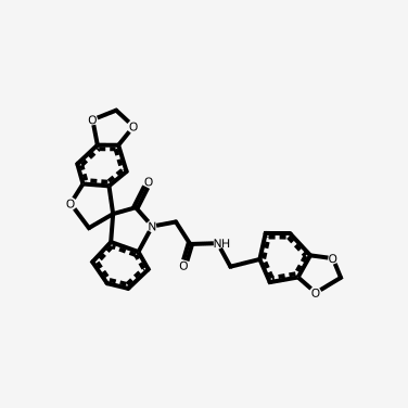 O=C(CN1C(=O)C2(COc3cc4c(cc32)OCO4)c2ccccc21)NCc1ccc2c(c1)OCO2